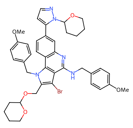 COc1ccc(CNc2nc3cc(-c4ccnn4C4CCCCO4)ccc3c3c2c(Br)c(COC2CCCCO2)n3Cc2ccc(OC)cc2)cc1